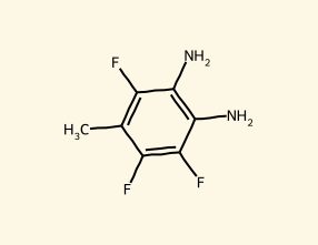 Cc1c(F)c(N)c(N)c(F)c1F